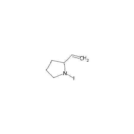 C=CC1CCCN1I